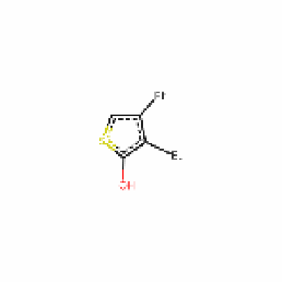 CCc1csc(O)c1CC